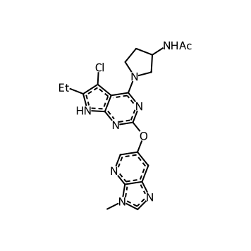 CCc1[nH]c2nc(Oc3cnc4c(c3)ncn4C)nc(N3CCC(NC(C)=O)C3)c2c1Cl